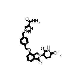 C=C1CCC(N2Cc3c(OCc4ccc(Cn5cc(C(N)=O)nn5)cc4)cccc3C2=O)C(=O)N1